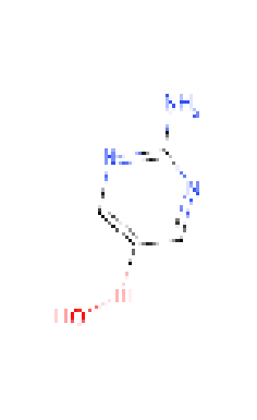 Nc1ncc(BO)cn1